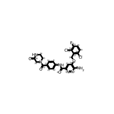 Nc1nnc(C(=O)Nc2ccc(C(=O)N3CCNC(=O)C3)cc2)cc1OCc1c(Cl)ccc(F)c1Cl